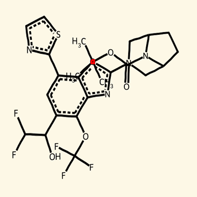 CC(C)(C)OC(=O)N1C2CCC1CN(c1nc3c(OC(F)(F)F)c(C(O)C(F)F)cc(-c4nccs4)c3o1)C2